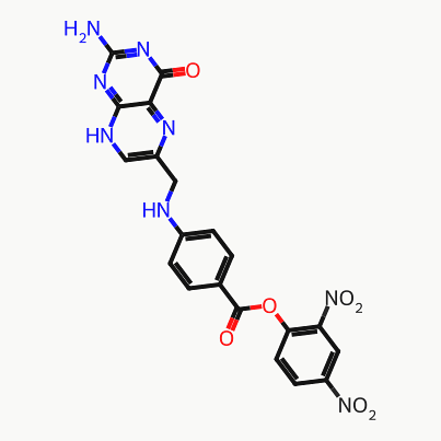 Nc1nc2[nH]cc(CNc3ccc(C(=O)Oc4ccc([N+](=O)[O-])cc4[N+](=O)[O-])cc3)nc-2c(=O)n1